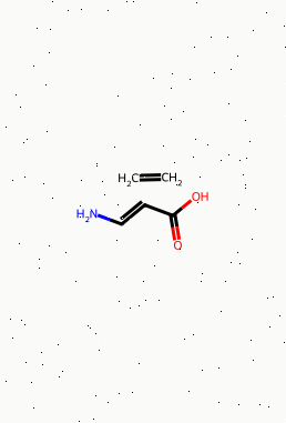 C=C.NC=CC(=O)O